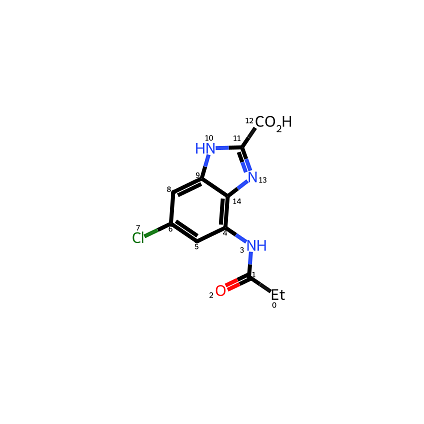 CCC(=O)Nc1cc(Cl)cc2[nH]c(C(=O)O)nc12